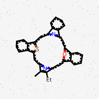 CCC1=C(C)c2cc3sc(cc4nc(cc5oc(cc1n2)c1ccccc51)-c1ccccc1-4)c1ccccc31